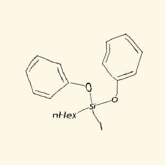 CCCCCC[Si](I)(Oc1ccccc1)Oc1ccccc1